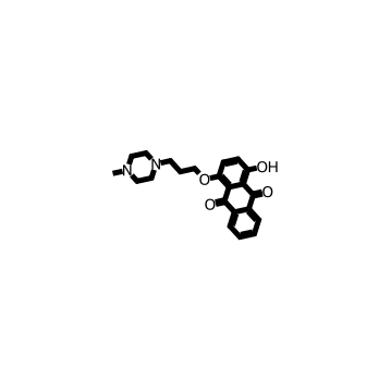 CN1CCN(CCCOc2ccc(O)c3c2C(=O)c2ccccc2C3=O)CC1